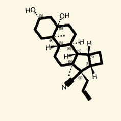 C=CC[C@]1(C#N)[C@H]2CC[C@H]2[C@H]2[C@@H]3CC[C@]4(O)C[C@@H](O)CC[C@]4(C)[C@H]3CC[C@@]21C